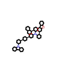 c1cc(-c2ccc(-c3ccc(N(c4ccccc4-c4ccc5c(c4)oc4ccccc45)c4ccccc4-c4cccc5ccccc45)cc3)cc2)cc(-n2c3ccccc3c3ccccc32)c1